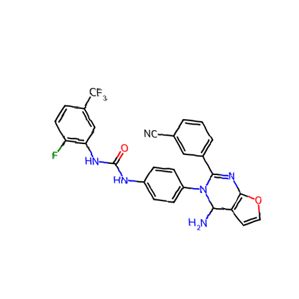 N#Cc1cccc(C2=Nc3occc3C(N)N2c2ccc(NC(=O)Nc3cc(C(F)(F)F)ccc3F)cc2)c1